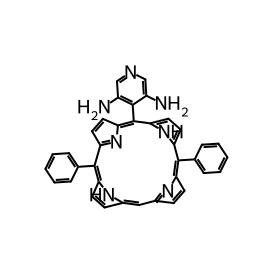 Nc1cncc(N)c1-c1c2nc(c(-c3ccccc3)c3ccc(cc4nc(c(-c5ccccc5)c5ccc1[nH]5)C=C4)[nH]3)C=C2